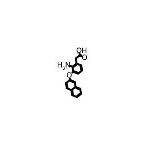 Nc1c(CC(=O)O)cccc1Oc1ccc2ccccc2c1